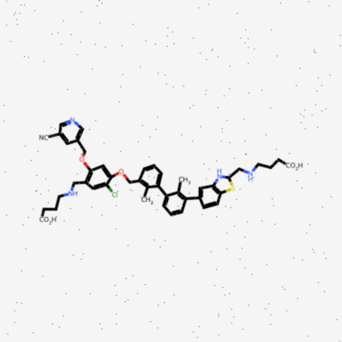 Cc1c(COc2cc(OCc3cncc(C#N)c3)c(CNCCCC(=O)O)cc2Cl)cccc1-c1cccc(-c2ccc3c(c2)NC(CNCCCC(=O)O)S3)c1C